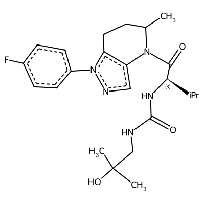 CC(C)[C@@H](NC(=O)NCC(C)(C)O)C(=O)N1c2cnn(-c3ccc(F)cc3)c2CCC1C